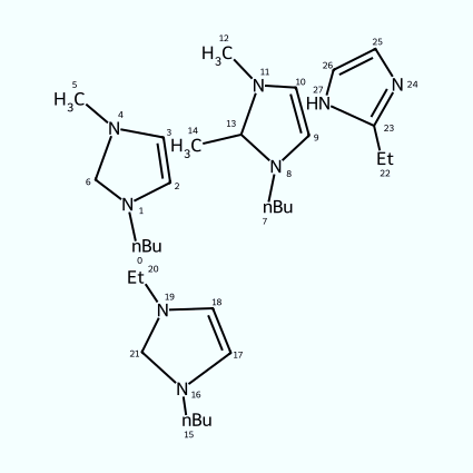 CCCCN1C=CN(C)C1.CCCCN1C=CN(C)C1C.CCCCN1C=CN(CC)C1.CCc1ncc[nH]1